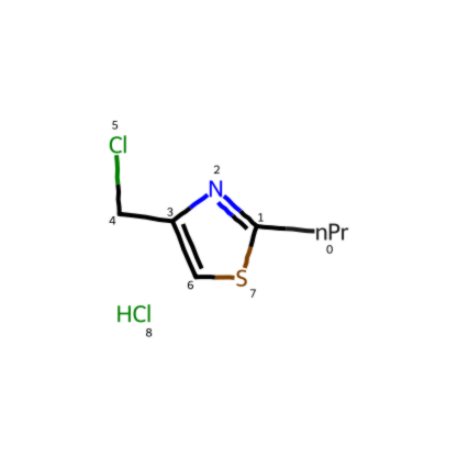 CCCc1nc(CCl)cs1.Cl